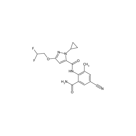 Cc1cc(C#N)cc(C(N)=O)c1NC(=O)c1cc(OCC(F)F)nn1C1CC1